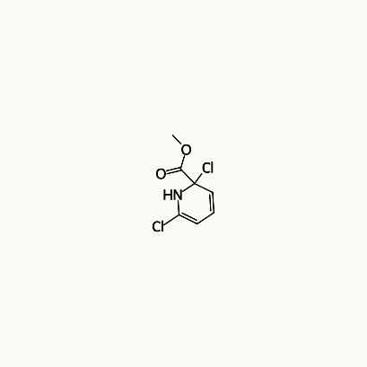 COC(=O)C1(Cl)C=CC=C(Cl)N1